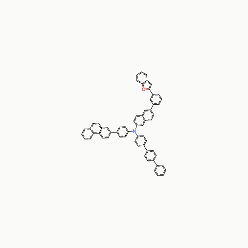 c1ccc(-c2ccc(-c3ccc(N(c4ccc(-c5ccc6c(ccc7ccccc76)c5)cc4)c4ccc5cc(-c6cccc(-c7cc8ccccc8o7)c6)ccc5c4)cc3)cc2)cc1